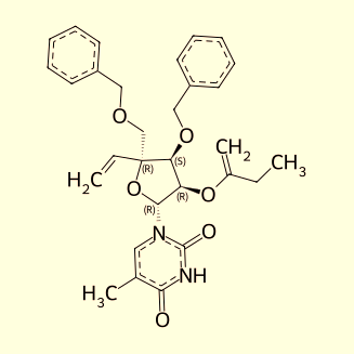 C=C[C@]1(COCc2ccccc2)O[C@@H](n2cc(C)c(=O)[nH]c2=O)[C@H](OC(=C)CC)[C@@H]1OCc1ccccc1